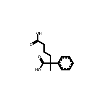 CC(CCCC(=O)O)(C(=O)O)c1ccccc1